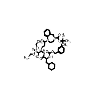 CCOP(=O)(OCC)C(O)[C@H](CCC(=O)N1CCN(C(=O)OC(C)(C)C)Cc2ccccc21)NC(=O)C(CC1CCCCC1)NC(=O)OCc1cccc(Cl)c1